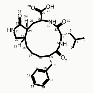 CC(C)C[C@@H]1NC(=O)[C@H](Cc2ccccc2)CCC[C@@H]2CNC(=O)[C@@H]2C[C@@H](C(=O)O)NC1=O